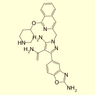 C=C(N)c1c(-c2ccc3oc(N)nc3c2)nn(Cc2cc3ccccc3c(OC3CCNCC3)n2)c1N